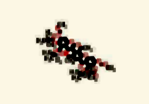 COCOc1cc2occ(-c3c(C(C)=O)cc4c(=O)c5c(C(=O)OC(C)(C)C)c(OC(=O)C(C)(C)C)c(OCOC)cc5oc4c3C(C)=O)c(=O)c2c(C(=O)OC(C)(C)C)c1OC(=O)C(C)(C)C